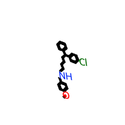 COc1ccc(CNCCCCCC(c2ccccc2)c2ccc(Cl)cc2)cc1